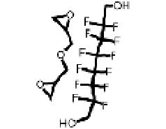 C(OCC1CO1)C1CO1.OCC(F)(F)C(F)(F)C(F)(F)C(F)(F)C(F)(F)C(F)(F)CO